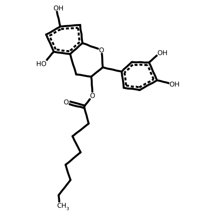 CCCCCCCC(=O)OC1Cc2c(O)cc(O)cc2OC1c1ccc(O)c(O)c1